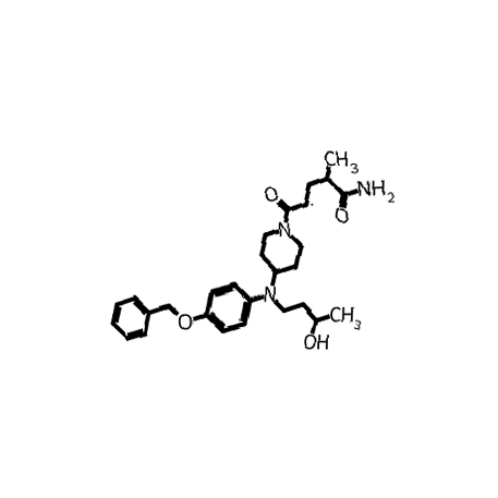 CC(O)CCN(c1ccc(OCc2ccccc2)cc1)C1CCN(C(=O)[CH]CC(C)C(N)=O)CC1